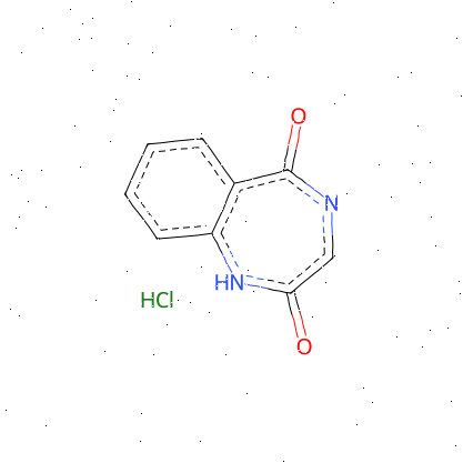 Cl.O=c1cnc(=O)c2ccccc2[nH]1